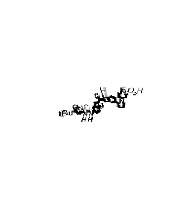 CC(C)(C)c1cc(NC(=O)Nc2ccc3oc(C(=O)c4cc5cc(C6CCCCN6C6CCN(C(=O)O)CC6)ccc5[nH]4)cc3c2)no1